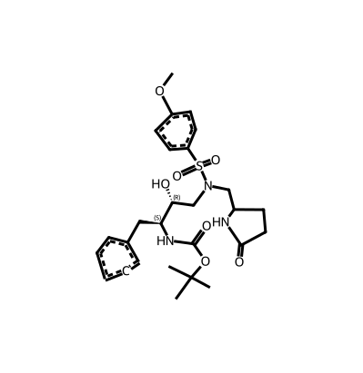 COc1ccc(S(=O)(=O)N(CC2CCC(=O)N2)C[C@@H](O)[C@H](Cc2ccccc2)NC(=O)OC(C)(C)C)cc1